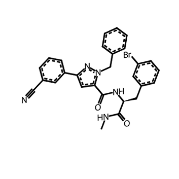 CNC(=O)[C@H](Cc1cccc(Br)c1)NC(=O)c1cc(-c2cccc(C#N)c2)nn1Cc1ccccc1